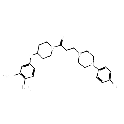 COc1cc(OC2CCN(C(=O)CCN3CCN(c4ccc(C(F)(F)F)cc4)CC3)CC2)ccc1[N+](=O)[O-]